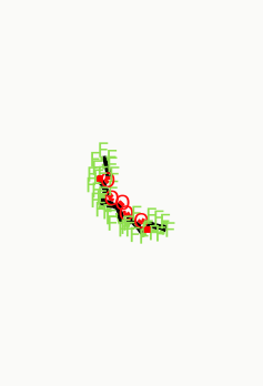 O=C(C(F)(OC(F)(F)C(F)(OC(F)(F)C(F)(F)C(F)(F)F)C(F)(F)F)C(F)(F)F)C(F)(OC(F)(F)C(F)(OC(F)(F)C(F)(F)C(F)(F)F)C(F)(F)F)C(F)(F)F